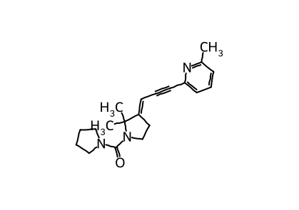 Cc1cccc(C#C/C=C2\CCN(C(=O)N3CCCC3)C2(C)C)n1